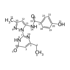 CCc1cc(=O)[nH]c(-n2nc(C)cc2NC(=O)c2ccc(O)cc2)n1